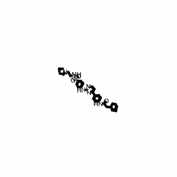 O=C(Cc1ccccc1)Nc1ccc(-c2ccnc(Nc3ccc(S(=O)(=O)NCCN4CCCC4)cc3)n2)cc1